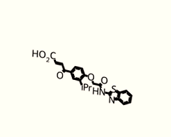 CC(C)c1cc(C(=O)/C=C/C(=O)O)ccc1OCC(=O)Nc1nc2ccccc2s1